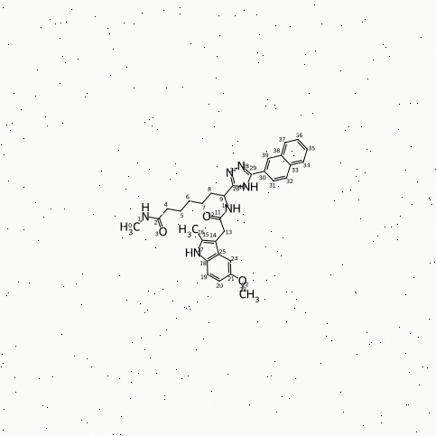 CNC(=O)CCCCCC(NC(=O)Cc1c(C)[nH]c2ccc(OC)cc12)c1nnc(-c2ccc3ccccc3c2)[nH]1